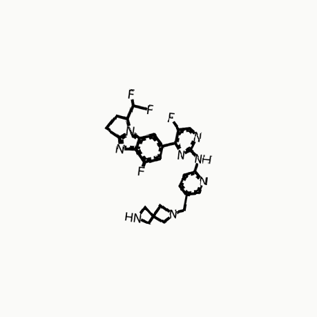 Fc1cnc(Nc2ccc(CN3CC4(CNC4)C3)cn2)nc1-c1cc(F)c2nc3n(c2c1)C(C(F)F)CC3